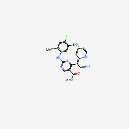 COC(=O)c1cnc(Nc2cc([N+](=O)[O-])c(F)cc2OC)nc1/C(C=N)=C1\C=CC=CN1